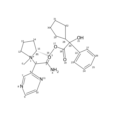 C[N+]1(C(C(N)=O)c2cnccn2)CCC[C@@H]1COC(=O)C(O)(c1ccccc1)C1CCCC1